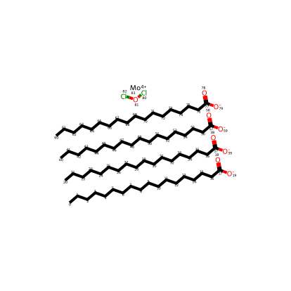 CCCCCCCCCCCCCCCCCC(=O)[O-].CCCCCCCCCCCCCCCCCC(=O)[O-].CCCCCCCCCCCCCCCCCC(=O)[O-].CCCCCCCCCCCCCCCCCC(=O)[O-].ClOCl.[Mo+4]